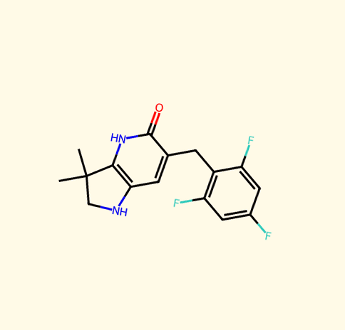 CC1(C)CNc2cc(Cc3c(F)cc(F)cc3F)c(=O)[nH]c21